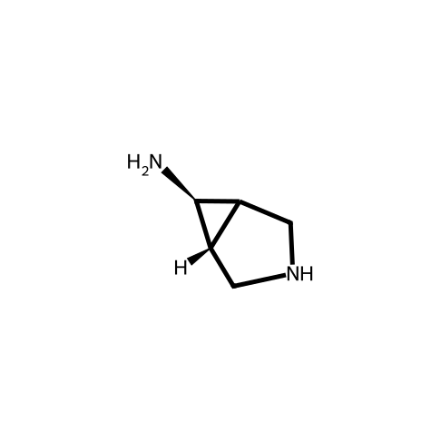 N[C@H]1C2CNC[C@@H]21